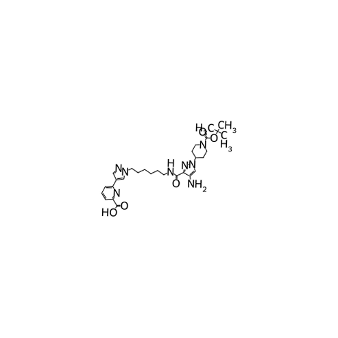 CC(C)(C)OC(=O)N1CCC(n2cc(N)c(C(=O)NCCCCCCn3cc(-c4cccc(C(=O)O)n4)cn3)n2)CC1